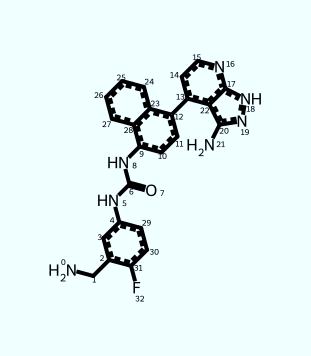 NCc1cc(NC(=O)Nc2ccc(-c3ccnc4[nH]nc(N)c34)c3ccccc23)ccc1F